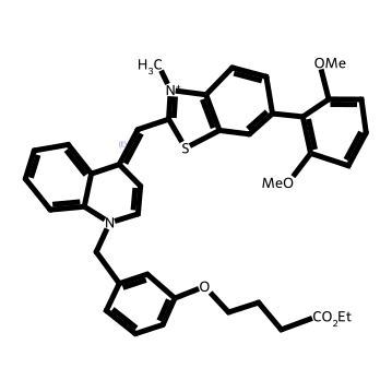 CCOC(=O)CCCOc1cccc(CN2C=C/C(=C\c3sc4cc(-c5c(OC)cccc5OC)ccc4[n+]3C)c3ccccc32)c1